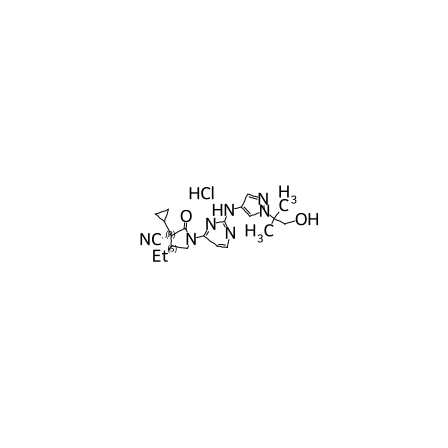 CC[C@@H]1CN(c2ccnc(Nc3cnn(C(C)(C)CO)c3)n2)C(=O)[C@]1(C#N)C1CC1.Cl